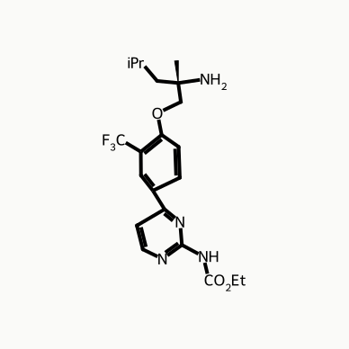 CCOC(=O)Nc1nccc(-c2ccc(OC[C@@](C)(N)CC(C)C)c(C(F)(F)F)c2)n1